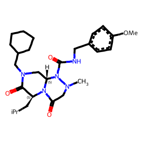 COc1ccc(CNC(=O)N2[C@H]3CN(CC4CCCCC4)C(=O)[C@H](CC(C)C)N3C(=O)CN2C)cc1